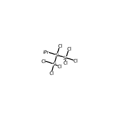 CC(C)[Si](Cl)([Si](Cl)(Cl)Cl)[Si](Cl)(Cl)Cl